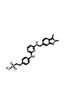 Cc1c2ccc(CNc3ccnc(Nc4ccc(CCS(N)(=O)=O)cc4)n3)cc2nn1C